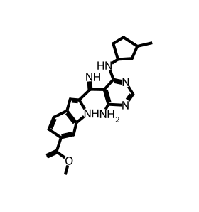 C=C(OC)c1ccc2cc(C(=N)c3c(N)ncnc3NC3CCC(C)C3)[nH]c2c1